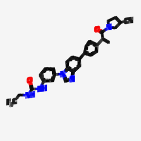 CC(C(=O)N1CCC(C#N)C1)c1ccc(-c2ccc3c(c2)ncn3-c2cccc(NC(=O)NCC(F)(F)F)c2)cc1